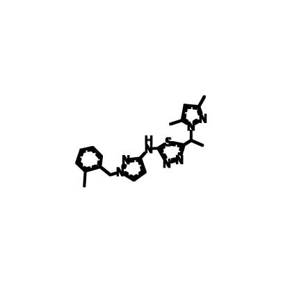 Cc1cc(C)n(C(C)c2nnc(Nc3ccn(Cc4ccccc4C)n3)s2)n1